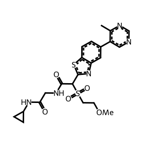 COCCS(=O)(=O)C(C(=O)NCC(=O)NC1CC1)c1nc2cc(-c3cncnc3C)ccc2s1